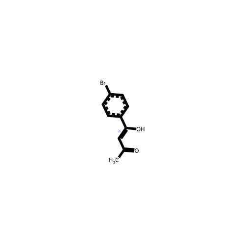 CC(=O)/C=C(\O)c1ccc(Br)cc1